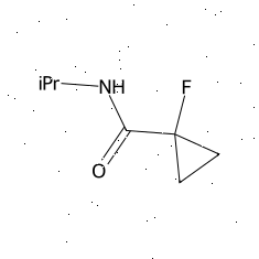 CC(C)NC(=O)C1(F)CC1